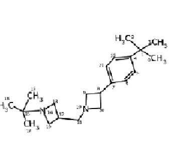 CC(C)(C)c1ccc(C2CN(CC3CN(C(C)(C)C)C3)C2)cc1